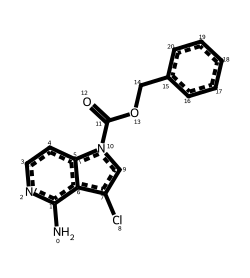 Nc1nccc2c1c(Cl)cn2C(=O)OCc1ccccc1